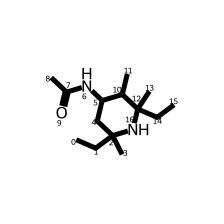 CCC1(C)CC(NC(C)=O)C(C)C(C)(CC)N1